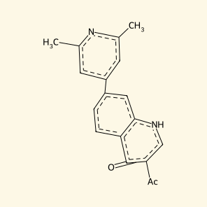 CC(=O)c1c[nH]c2cc(-c3cc(C)nc(C)c3)ccc2c1=O